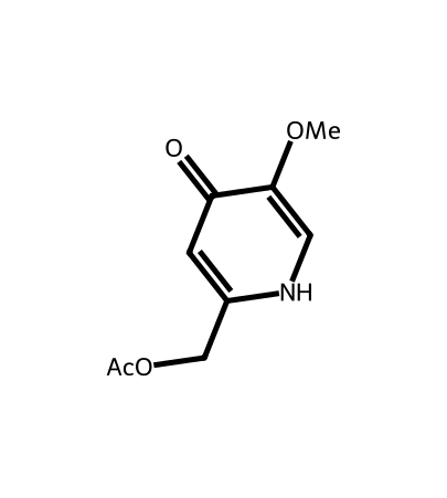 COc1c[nH]c(COC(C)=O)cc1=O